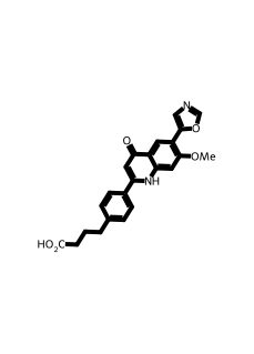 COc1cc2[nH]c(-c3ccc(CCCC(=O)O)cc3)cc(=O)c2cc1-c1cnco1